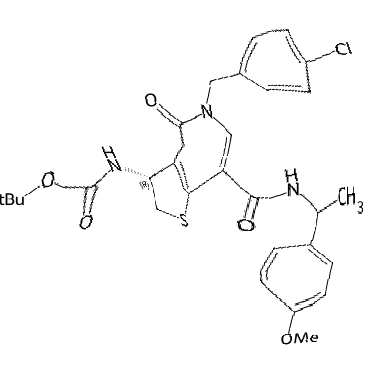 COc1ccc(C(C)NC(=O)c2cn(Cc3ccc(Cl)cc3)c(=O)c3c2SC[C@@H]3NC(=O)OC(C)(C)C)cc1